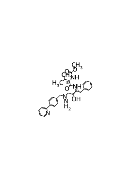 COC(=O)N[C@H](C(=O)N[C@@H](Cc1ccccc1)[C@@H](O)CN(N)Cc1ccc(-c2ccccn2)cc1)C(C)C